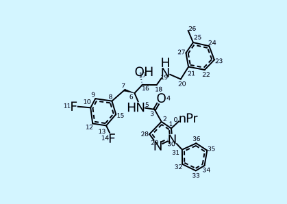 CCCc1c(C(=O)N[C@@H](Cc2cc(F)cc(F)c2)[C@H](O)CNCc2cccc(C)c2)cnn1-c1ccccc1